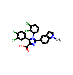 Cn1ccc2cc(-c3nc(C(=O)O)c(-c4ccc(F)c(Cl)c4)n3-c3cccc(Cl)c3F)ccc21